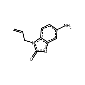 C=CCn1c(=O)oc2cc(N)ccc21